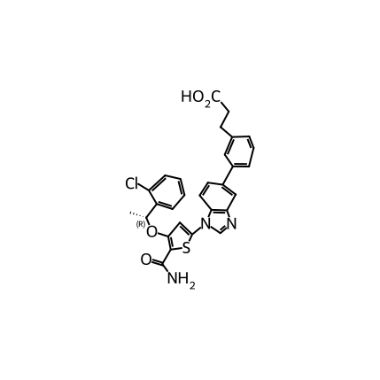 C[C@@H](Oc1cc(-n2cnc3cc(-c4cccc(CCC(=O)O)c4)ccc32)sc1C(N)=O)c1ccccc1Cl